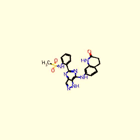 CS(=O)(=O)Nc1ccccc1-c1nc(Nc2ccc3c(c2)NC(=O)CC3)c2[nH]ncc2n1